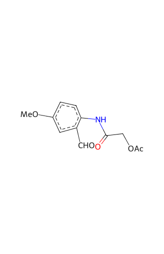 COc1ccc(NC(=O)COC(C)=O)c(C=O)c1